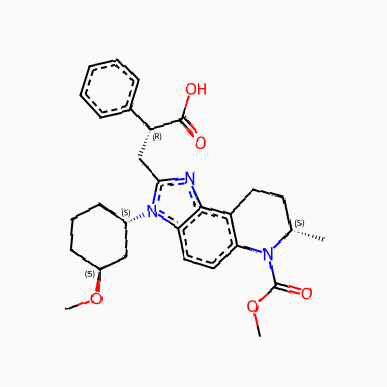 COC(=O)N1c2ccc3c(nc(C[C@@H](C(=O)O)c4ccccc4)n3[C@H]3CCC[C@H](OC)C3)c2CC[C@@H]1C